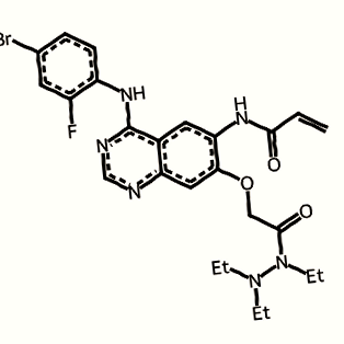 C=CC(=O)Nc1cc2c(Nc3ccc(Br)cc3F)ncnc2cc1OCC(=O)N(CC)N(CC)CC